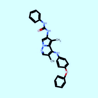 Cc1c(NC(=O)Nc2ccccc2)cn2ncc(C#N)c(Nc3ccc(Oc4ccccc4)cc3)c12